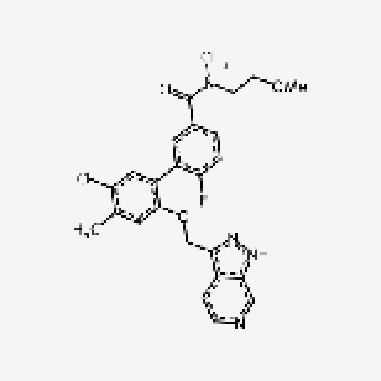 COCCN(C)C(=O)c1ccc(F)c(-c2cc(Cl)c(C)cc2OCc2n[nH]c3cnccc23)c1